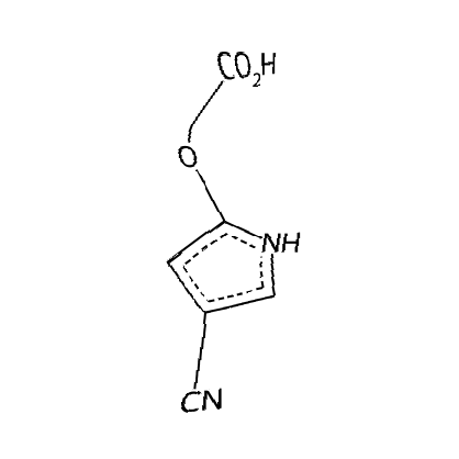 N#Cc1c[nH]c(OC(=O)O)c1